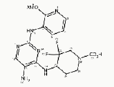 COc1ncccc1Nc1ncc(N)c(NC2CCN(C(=O)O)CC2(F)F)n1